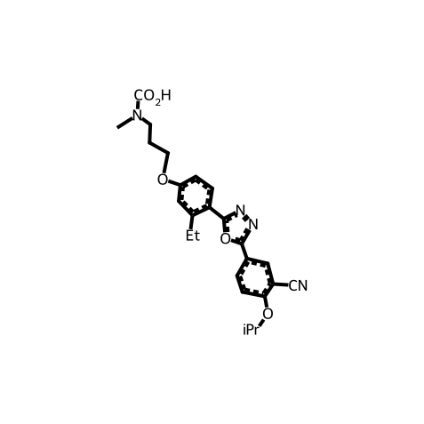 CCc1cc(OCCCN(C)C(=O)O)ccc1-c1nnc(-c2ccc(OC(C)C)c(C#N)c2)o1